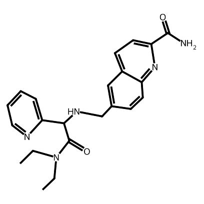 CCN(CC)C(=O)C(NCc1ccc2nc(C(N)=O)ccc2c1)c1ccccn1